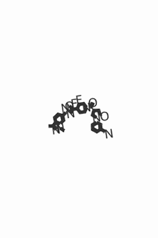 Cc1nn(C)c2cc(-c3noc(C4CCN(C(=O)[C@H]5CC(=O)N(c6cccc(C#N)c6)C5)CC4(F)F)n3)ccc12